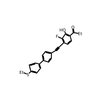 CCSc1ccc(-c2ccc(C#Cc3ccc(C(=O)CC)c(O)c3F)cc2)cc1